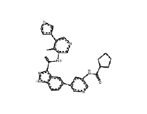 C=C(Nc1cncc(-c2ccoc2)c1C)c1n[nH]c2ccc(-c3cncc(NC(=O)C4CCCC4)c3)cc12